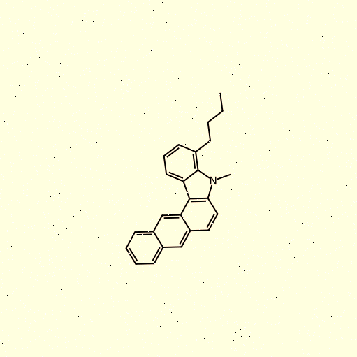 CCCCc1cccc2c3c4cc5ccccc5cc4ccc3n(C)c12